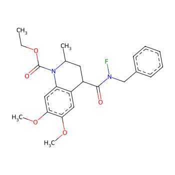 CCOC(=O)N1c2cc(OC)c(OC)cc2C(C(=O)N(F)Cc2ccccc2)CC1C